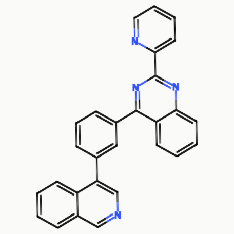 c1ccc(-c2nc(-c3cccc(-c4cncc5ccccc45)c3)c3ccccc3n2)nc1